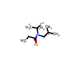 CCC(=O)N(CC(C)C)C(C)C